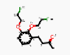 CC(=O)CCc1cccc(OCCF)c1OCCF